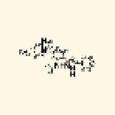 CC(C)Nc1cc(-c2cnc3cc(C#N)cnn23)ncc1-c1cc(C2CCOCC2)[nH]n1